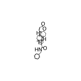 C[C@]12CC[C@@H]3[C@@H](CCC4OC(=O)C=C[C@@]43C)[C@@H]1CC(C(=O)NCc1ccccc1)C2